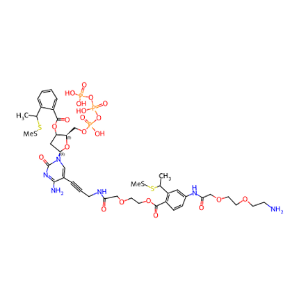 CSSC(C)c1cc(NC(=O)COCCOCCN)ccc1C(=O)OCCOCC(=O)NCC#Cc1cn([C@H]2CC(OC(=O)c3ccccc3C(C)SSC)[C@@H](COP(=O)(O)OP(=O)(O)OP(=O)(O)O)O2)c(=O)nc1N